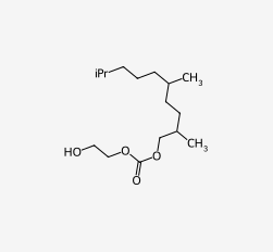 CC(C)CCCC(C)CCC(C)COC(=O)OCCO